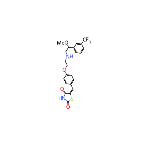 COC(CNCCOc1ccc(C=C2SC(=O)NC2=O)cc1)c1cccc(C(F)(F)F)c1